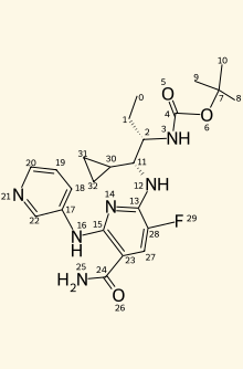 CC[C@H](NC(=O)OC(C)(C)C)[C@H](Nc1nc(Nc2cccnc2)c(C(N)=O)cc1F)C1CC1